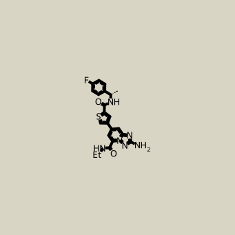 CCNC(=O)c1cc(-c2csc(C(=O)N[C@@H](C)c3ccc(F)cc3)c2)cc2nc(N)nn12